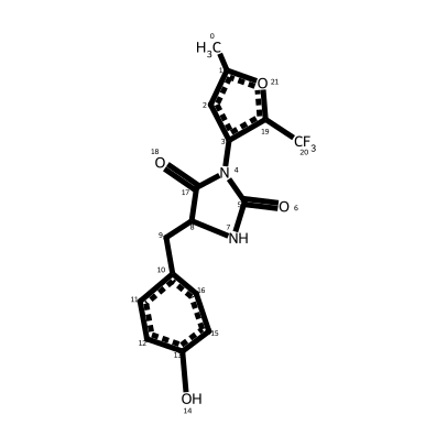 Cc1cc(N2C(=O)NC(Cc3ccc(O)cc3)C2=O)c(C(F)(F)F)o1